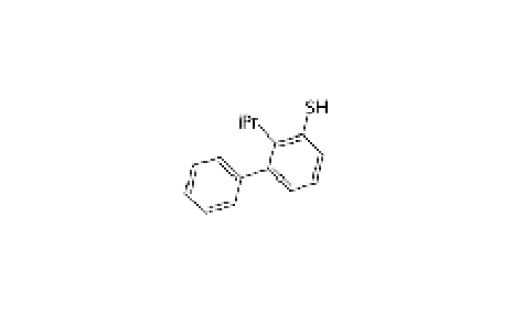 CC(C)c1c(S)cccc1-c1ccccc1